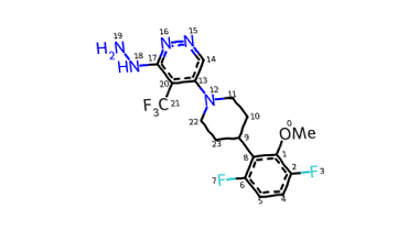 COc1c(F)ccc(F)c1C1CCN(c2cnnc(NN)c2C(F)(F)F)CC1